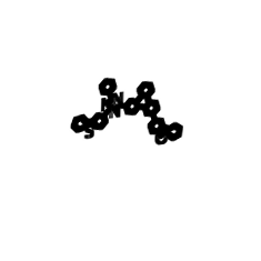 c1ccc(-c2nc(-c3ccc4sc5ccccc5c4c3)nc(-c3ccc4c5cc(-c6ccc7oc8ccccc8c7c6)ccc5c5ccccc5c4c3)n2)cc1